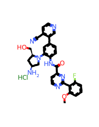 COc1cccc(F)c1-c1nccc(C(=O)Nc2ccc(-c3cnccc3C#N)cc2N2C[C@@H](N)C[C@H]2CO)n1.Cl